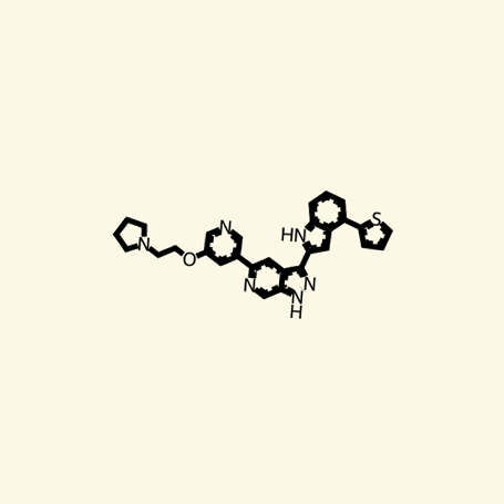 c1csc(-c2cccc3[nH]c(-c4n[nH]c5cnc(-c6cncc(OCCN7CCCC7)c6)cc45)cc23)c1